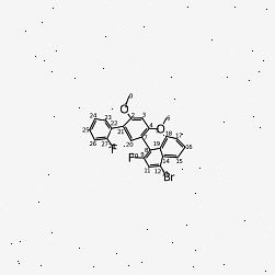 COc1cc(OC)c(-c2c(F)cc(Br)c3ccccc23)cc1-c1ccccc1F